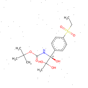 CCS(=O)(=O)c1ccc([C@@](O)(NC(=O)OC(C)(C)C)C(C)(O)O)cc1